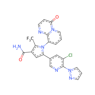 NC(=O)c1cc(-c2cnc(-n3cccn3)c(Cl)c2)n(-c2cccn3c(=O)ccnc23)c1C(F)(F)F